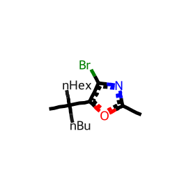 CCCCCCC(C)(CCCC)c1oc(C)nc1Br